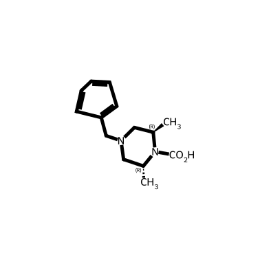 C[C@@H]1CN(Cc2ccccc2)C[C@@H](C)N1C(=O)O